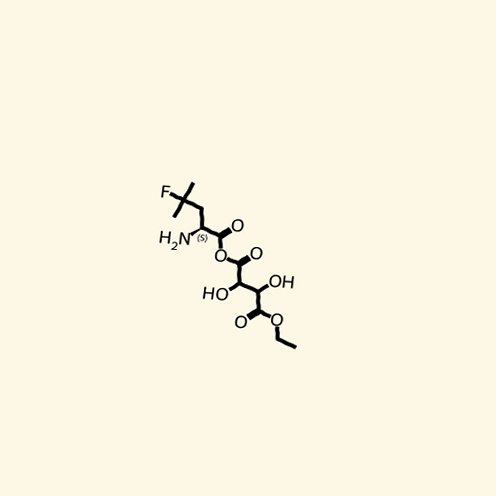 CCOC(=O)C(O)C(O)C(=O)OC(=O)[C@@H](N)CC(C)(C)F